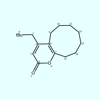 CC(C)(C)Cc1cc(=O)oc2c1CCCCCCC2